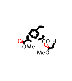 C=C(C)C(=O)O.C=C(C)C(=O)OC.C=CC(=O)OC.C=Cc1ccccc1